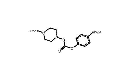 CCCCCc1ccc(OC(=O)ON2CCN(CCCCC)CC2)cc1